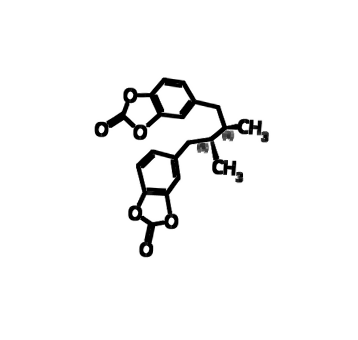 C[C@H](Cc1ccc2oc(=O)oc2c1)[C@@H](C)Cc1ccc2oc(=O)oc2c1